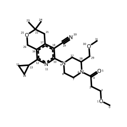 COCCC(=O)N1CCN(c2nc(C3CC3)c3c(c2C#N)CC(C)(C)OC3)CC1COC